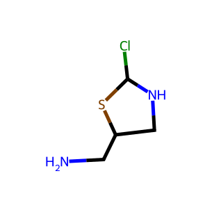 NCC1CNC(Cl)S1